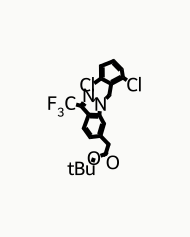 CC(C)(C)OC(=O)Cc1ccc2c(C(F)(F)F)nn(Cc3c(Cl)cccc3Cl)c2c1